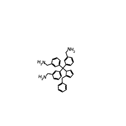 NCc1cccc(C([C]2C=CC=C2Cc2ccccc2)(c2cccc(CN)c2)c2cccc(CN)c2)c1